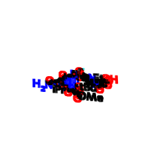 CC[C@@]1(O)C(=O)OCc2c1cc1n(c2=O)Cc2c-1nc1cc(F)c(OC(=O)N(C)CCNC(=O)C(CCCNC(N)=O)NC(=O)C(NC(=O)C(CCC(=O)OC)NC(=O)OC(C)(C)C)C(C)C)cc1c2C